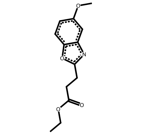 CCOC(=O)CCc1nc2cc(OC)ccc2o1